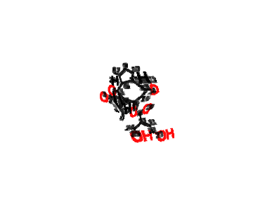 C=C1C(=O)O[C@@H]2[C@H]3C(C)=CC[C@H]3[C@]3(CO3)C[C@@H](OC(=O)/C(=C/CO)CO)[C@@H]12